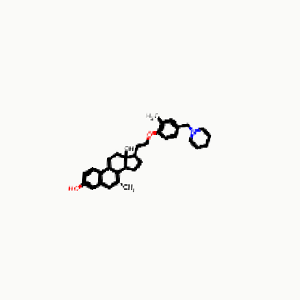 Cc1cc(CN2CCCCC2)ccc1OCCC1CCC2C3C(CCC12C)c1ccc(O)cc1C[C@H]3C